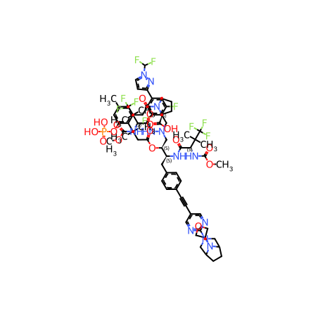 COC(=O)N[C@H](C(=O)N[C@@H](Cc1ccc(C#Cc2cnc(N3CC4CCC(C3)N4C3COC3)nc2)cc1)[C@H](CN(Cc1c(F)cc(-c2ccn(C(F)F)n2)cc1F)NC(=O)[C@@H](NC(=O)OC)C(C)(C)C(F)(F)F)OC(=O)CC(C)(C)c1c(CC(=O)N2CCC[C@H]2C(=O)O)cc(C)cc1OP(=O)(O)O)C(C)(C)C(F)(F)F